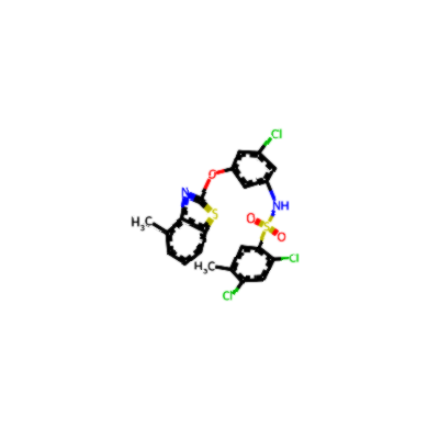 Cc1cc(S(=O)(=O)Nc2cc(Cl)cc(Oc3nc4c(C)cccc4s3)c2)c(Cl)cc1Cl